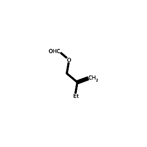 C=C(CC)COC=O